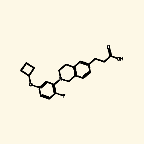 O=C(O)CCc1ccc2c(c1)CCN(c1cc(OC3CCC3)ccc1F)C2